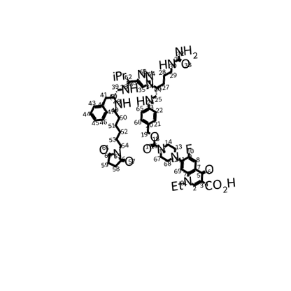 CCn1cc(C(=O)O)c(=O)c2cc(F)c(N3CCN(C(=O)OCc4ccc(NC[C@@H](CCCNC(N)=O)n5cc([C@@H](NC[C@@H](Cc6ccccc6)NCCCCCCN6C(=O)CCC6=O)C(C)C)nn5)cc4)CC3)cc21